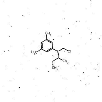 CCC(C)[SiH](CCl)c1cc(C)cc(C)c1